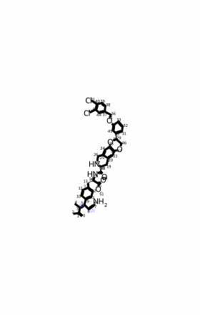 C=C(C)/C(C)=C(\C=C/N)c1ccc(C[C@H](NC(=O)[C@@H]2Cc3cc4c(cc3CN2)O[C@@H](c2cccc(OCc3ccc(Cl)c(Cl)c3)c2)CO4)C(=O)OC)cc1